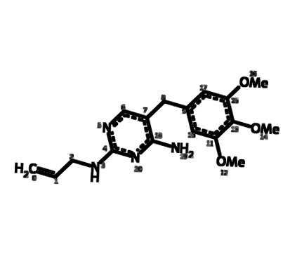 C=CCNc1ncc(Cc2cc(OC)c(OC)c(OC)c2)c(N)n1